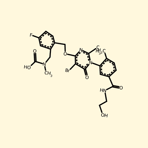 Cc1ccc(C(=O)NCCO)cc1-n1c(C)nc(OCc2ccc(F)cc2CN(C)C(=O)O)c(Br)c1=O